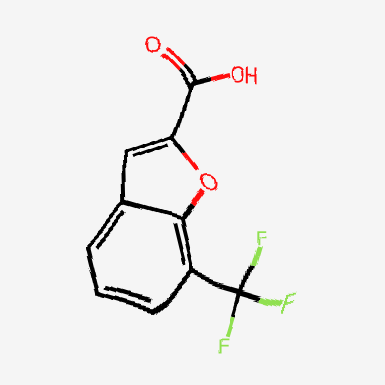 O=C(O)c1cc2cccc(C(F)(F)F)c2o1